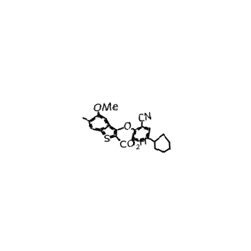 COc1cc2c(Oc3ccc(C4CCCCC4)cc3C#N)c(C(=O)O)sc2cc1C